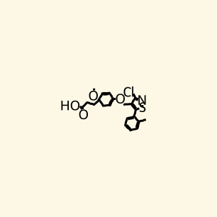 COC1(CCC(=O)O)C=CC(OCc2c(Cl)nsc2-c2ccccc2C)=CC1